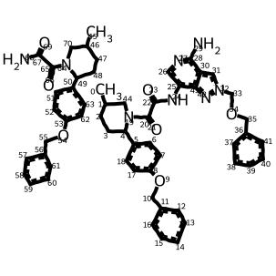 CC1CCC(c2ccc(OCc3ccccc3)cc2)N(C(=O)C(=O)Nc2cnc(N)c3cn(COCc4ccccc4)nc23)C1.CC1CCC(c2ccc(OCc3ccccc3)cc2)N(C(=O)C(N)=O)C1